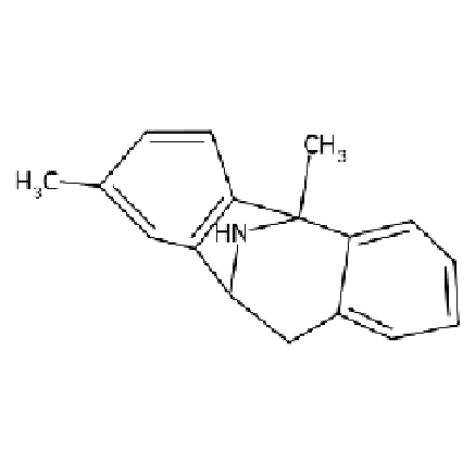 Cc1ccc2c(c1)C1Cc3ccccc3C2(C)N1